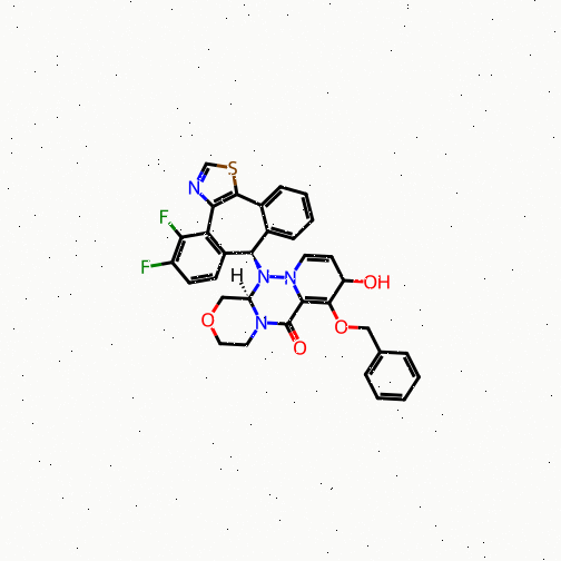 O=C1C2=C(OCc3ccccc3)C(O)C=CN2N([C@@H]2c3ccccc3-c3scnc3-c3c2ccc(F)c3F)[C@@H]2COCCN12